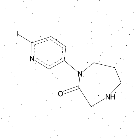 O=C1CNCCCN1c1ccc(I)nc1